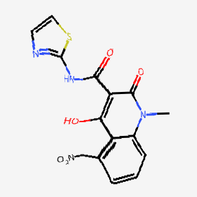 Cn1c(=O)c(C(=O)Nc2nccs2)c(O)c2c([N+](=O)[O-])cccc21